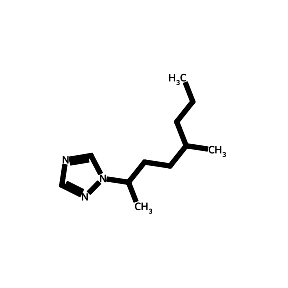 CCCC(C)CCC(C)n1cncn1